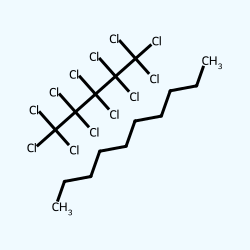 CCCCCCCCCC.ClC(Cl)(Cl)C(Cl)(Cl)C(Cl)(Cl)C(Cl)(Cl)C(Cl)(Cl)Cl